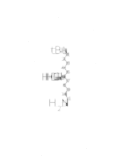 CC(C)(C)CCCCCCCCCCCN.Cl.Cl